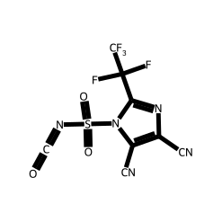 N#Cc1nc(C(F)(F)C(F)(F)F)n(S(=O)(=O)N=C=O)c1C#N